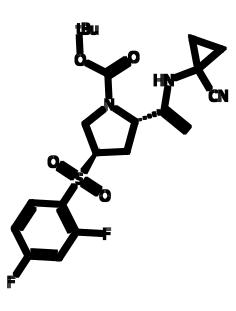 C=C(NC1(C#N)CC1)[C@@H]1C[C@@H](S(=O)(=O)c2ccc(F)cc2F)CN1C(=O)OC(C)(C)C